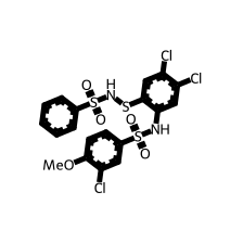 COc1ccc(S(=O)(=O)Nc2cc(Cl)c(Cl)cc2SNS(=O)(=O)c2ccccc2)cc1Cl